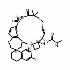 CNC(=O)O[C@H]1/C=C/COC(C)(C)C(=O)NS(=O)(=O)c2ccc3c(c2)N(C[C@@H]2CC[C@H]21)C[C@@]1(CCCc2cc(Cl)ccc21)CO3